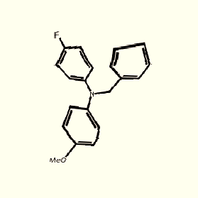 COc1ccc(N(Cc2c[c]ccc2)c2ccc(F)cc2)cc1